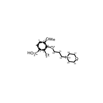 CCc1c(C(=O)O)ccc(OC)c1OCCCN1CCOCC1